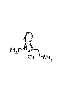 Cc1c(CCN)c2cccnc2n1C